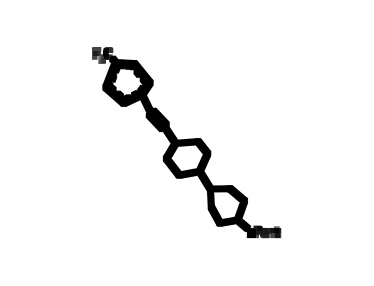 CCCCCC1CCC(C2CCC(C#Cc3ccc(C(F)(F)F)cc3)CC2)CC1